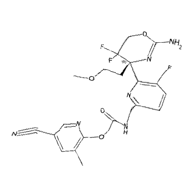 COCC[C@]1(c2nc(NC(=O)Oc3ncc(C#N)cc3C)ccc2F)N=C(N)OCC1(F)F